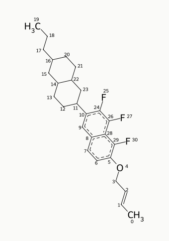 CC=CCOc1ccc2cc(C3CCC4CC(CCC)CCC4C3)c(F)c(F)c2c1F